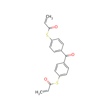 C=CC(=O)Sc1ccc(C(=O)c2ccc(SC(=O)C=C)cc2)cc1